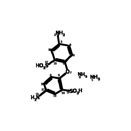 N.N.Nc1ccc(Oc2ccc(N)cc2S(=O)(=O)O)c(S(=O)(=O)O)c1